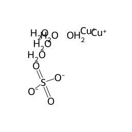 O.O.O.O.O.O=S(=O)([O-])[O-].[Cu+].[Cu+]